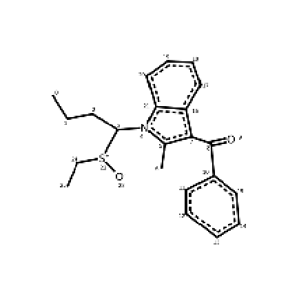 CCCC(n1c(C)c(C(=O)c2ccccc2)c2ccccc21)[S+]([O-])CC